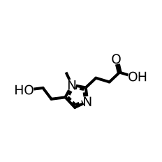 Cn1c(CCO)cnc1CCC(=O)O